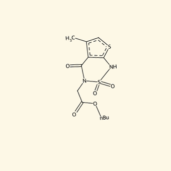 CCCCOC(=O)CN1C(=O)c2c(C)csc2NS1(=O)=O